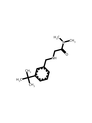 CN(C)C(=O)CNCc1cccc(C(C)(C)C)c1